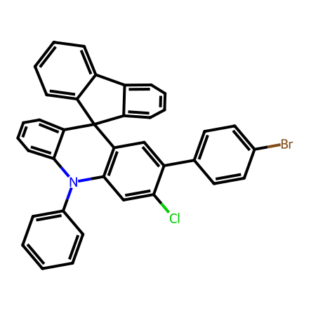 Clc1cc2c(cc1-c1ccc(Br)cc1)C1(c3ccccc3-c3ccccc31)c1ccccc1N2c1ccccc1